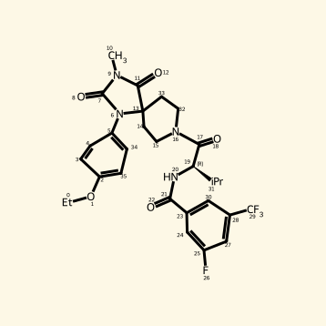 CCOc1ccc(N2C(=O)N(C)C(=O)C23CCN(C(=O)[C@H](NC(=O)c2cc(F)cc(C(F)(F)F)c2)C(C)C)CC3)cc1